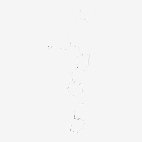 COc1cc2c(Oc3ccc(NCc4ccccc4)cc3)ccnc2cc1OCC[C@H](N)C(=O)O